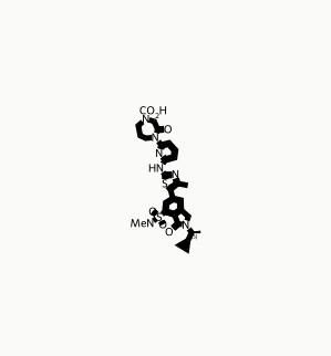 CNS(=O)(=O)c1cc(-c2sc(Nc3cccc(N4CCCN(C(=O)O)CC4=O)n3)nc2C)cc2c1C(=O)N([C@@H](C)C1CC1)C2